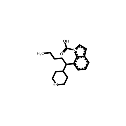 CCCCC(c1cccc2ccn(C(=O)O)c12)C1CCNCC1